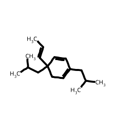 CC=CC1(CC(C)C)C=CC(CC(C)C)=CC1